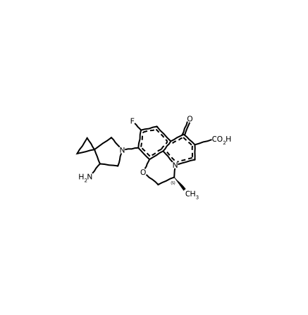 C[C@H]1COc2c(N3CC(N)C4(CC4)C3)c(F)cc3c(=O)c(C(=O)O)cn1c23